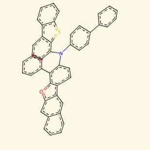 c1ccc(-c2ccc(N(c3ccc4c(oc5cc6ccccc6cc54)c3-c3ccccc3)c3cccc4c3sc3ccccc34)cc2)cc1